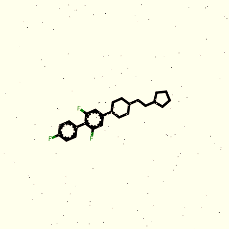 Fc1ccc(-c2c(F)cc(C3CCC(CCC4CCCC4)CC3)cc2F)cc1